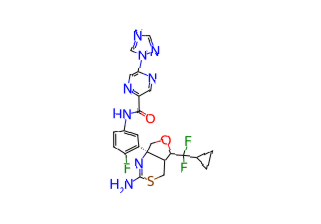 NC1=N[C@@]2(c3cc(NC(=O)c4cnc(-n5cncn5)cn4)ccc3F)COC(C(F)(F)C3CC3)C2CS1